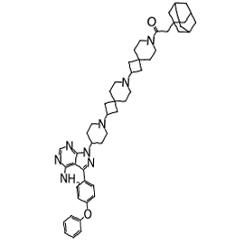 Nc1ncnc2c1c(-c1ccc(Oc3ccccc3)cc1)nn2C1CCN(C2CC3(CCN(C4CC5(CCN(C(=O)CC67CC8CC(CC(C8)C6)C7)CC5)C4)CC3)C2)CC1